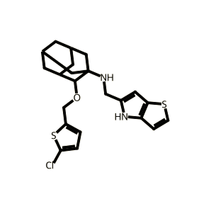 Clc1ccc(COC2C3CC4CC(C3)CC2(NCc2cc3sccc3[nH]2)C4)s1